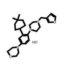 CC1(C)CCC(c2cc(N3CCOCC3)ccc2N2CCN(Cc3ccoc3)CC2)CC1.Cl